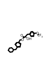 O=C(OCc1ccc(CC2CCCCC2)cc1)[C@H](O)Cc1ccc(OC(F)(F)F)cc1